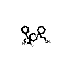 CCCC1(N2CCC3(CC2)C(=O)NCN3c2ccccc2)CCCCC1